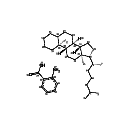 CC(C)CCC[C@@H](C)[C@H]1CC[C@H]2[C@@H]3CCC4CCCC[C@]4(C)[C@H]3CC[C@]12C.Nc1ccccc1C(=O)O